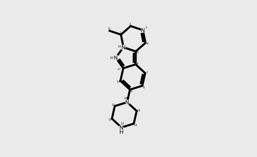 CC1CN=Cc2c3ccc(N4CCNCC4)cc3nn21